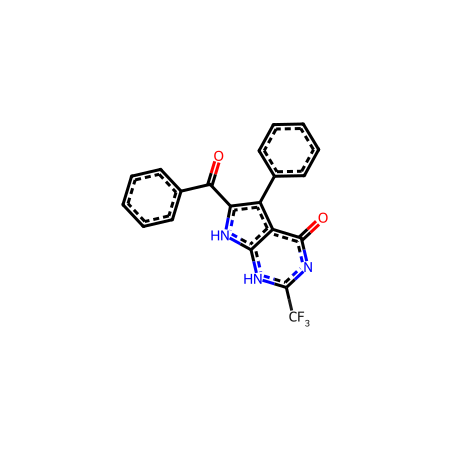 O=C(c1ccccc1)c1[nH]c2[nH]c(C(F)(F)F)nc(=O)c2c1-c1ccccc1